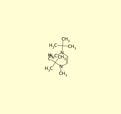 CN(/C=C\N(C)C(C)(C)C)C(C)(C)C